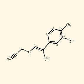 C#CCO/N=C(\C)c1ccc(C)c(C)c1